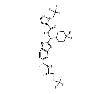 C[C@@H](NC(=O)CCC(F)(F)F)c1ccc2[nH]c([C@@H](NC(=O)c3ccnn3CC(F)(F)F)C3CCC(F)(F)CC3)nc2c1